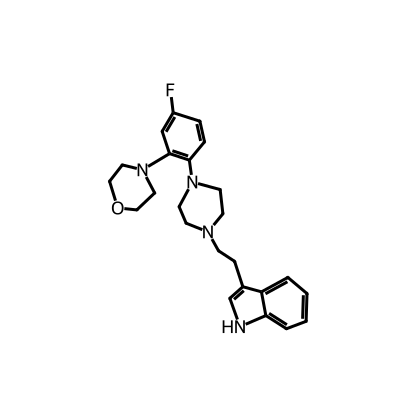 Fc1ccc(N2CCN(CCc3c[nH]c4ccccc34)CC2)c(N2CCOCC2)c1